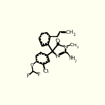 C=CCc1ccccc1C1(c2ccc(OC(F)F)c(Cl)c2)N=C(N)N(C)C1=O